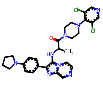 CC(Nc1c(-c2ccc(N3CCCC3)cc2)nc2cnccn12)C(=O)N1CCN(c2c(Cl)cncc2Cl)CC1